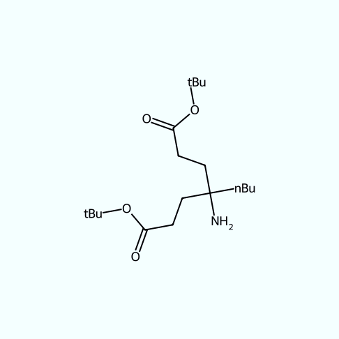 CCCCC(N)(CCC(=O)OC(C)(C)C)CCC(=O)OC(C)(C)C